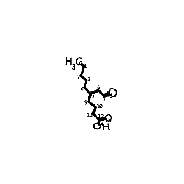 CCCCCC(CC=O)CCCC(=O)O